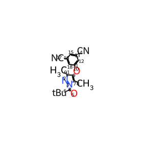 Cc1nn(C(=O)C(C)(C)C)c(C)c1Oc1cc(C#N)cc(C#N)c1